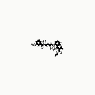 CCOC(=O)c1c(C)nc2cccc(OCCCCNC(=O)c3cccc(O)c3)c2c1N